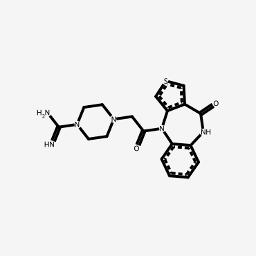 N=C(N)N1CCN(CC(=O)N2c3ccccc3NC(=O)c3cscc32)CC1